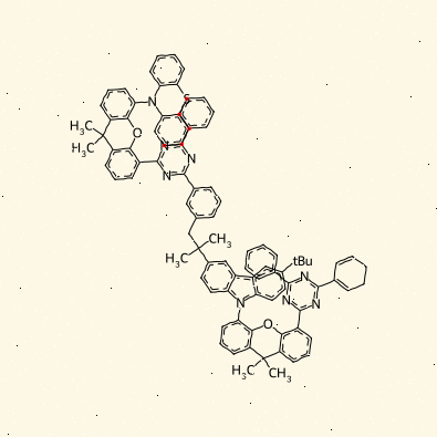 CC(C)(C)c1ccc2c(c1)c1cc(C(C)(C)Cc3cccc(-c4nc(-c5ccccc5)nc(-c5cccc6c5Oc5c(N7c8ccccc8Sc8ccccc87)cccc5C6(C)C)n4)c3)ccc1n2-c1cccc2c1Oc1c(-c3nc(C4=CCCC=C4)nc(-c4ccccc4)n3)cccc1C2(C)C